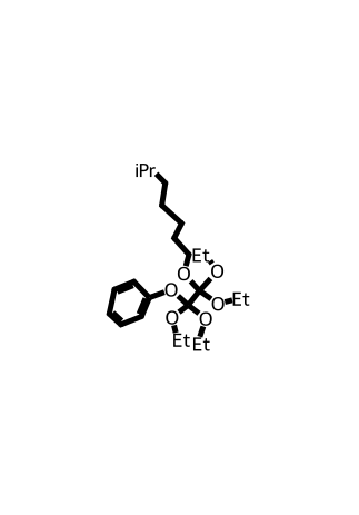 CCOC(OCC)(OCCCCCC(C)C)C(OCC)(OCC)Oc1ccccc1